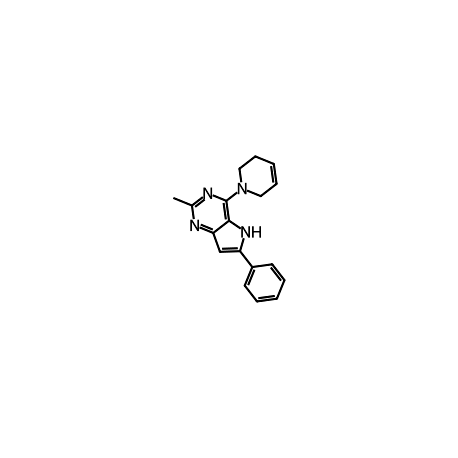 Cc1nc(N2CC=CCC2)c2[nH]c(-c3ccccc3)cc2n1